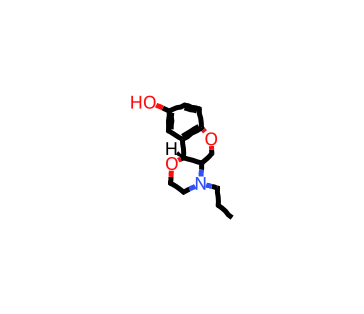 CCCN1CCO[C@@H]2c3cc(O)ccc3OCC21